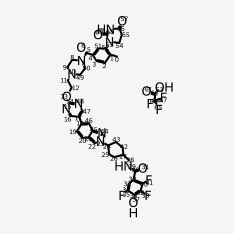 Cc1ccc(C(=O)N2CCN(CCOc3ncc(-c4ccc5cn(C6CCC(CNC(=O)c7cc(F)c(O)c(F)c7F)CC6)nc5c4)cn3)CC2)cc1N1CCC(=O)NC1=O.O=C(O)C(F)(F)F